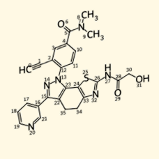 C#Cc1cc(C(=O)N(C)C)ccc1-n1nc(-c2cccnc2)c2c1-c1sc(NC(=O)CO)nc1CC2